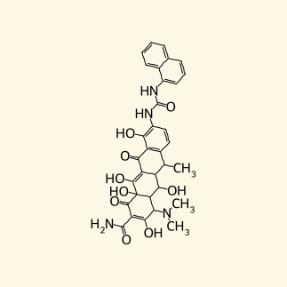 CC1c2ccc(NC(=O)Nc3cccc4ccccc34)c(O)c2C(=O)C2=C(O)C3(O)C(=O)C(C(N)=O)=C(O)C(N(C)C)C3C(O)C21